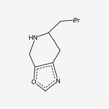 CC(C)CC1Cc2ncoc2CN1